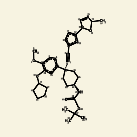 COc1ccc([C@]2(C#Cc3ccc(N4C=NC(C)O4)s3)CC[C@H](NC(=O)OC(C)(C)C)CC2)cc1OC1CCCC1